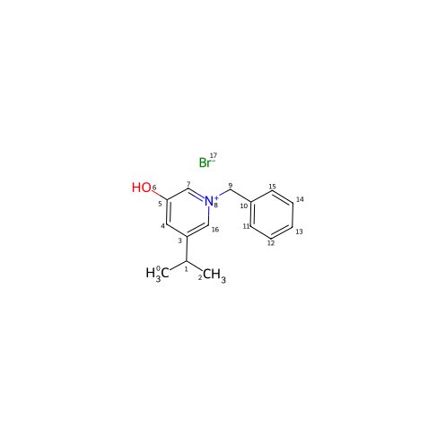 CC(C)c1cc(O)c[n+](Cc2ccccc2)c1.[Br-]